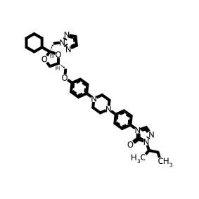 CCC(C)n1ncn(-c2ccc(N3CCN(c4ccc(OC[C@@H]5CO[C@@](Cn6nccn6)(C6CCCCC6)O5)cc4)CC3)cc2)c1=O